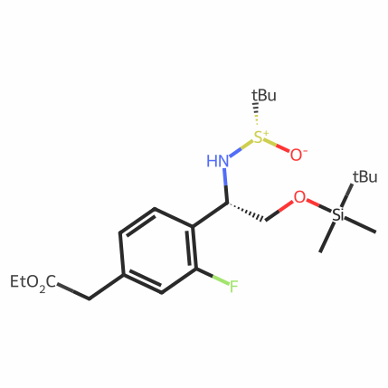 CCOC(=O)Cc1ccc([C@@H](CO[Si](C)(C)C(C)(C)C)N[S@@+]([O-])C(C)(C)C)c(F)c1